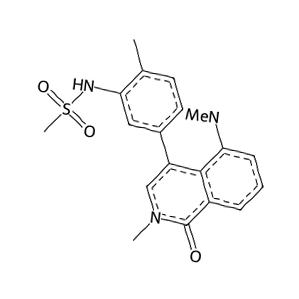 CNc1cccc2c(=O)n(C)cc(-c3ccc(C)c(NS(C)(=O)=O)c3)c12